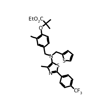 CCOC(=O)C(C)(C)Oc1ccc(CN(Cc2cccs2)c2sc(-c3ccc(C(F)(F)F)cc3)nc2C)cc1C